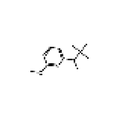 COc1cccc(C(C)C(C)(C)C)n1